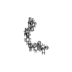 Cn1c(=O)n(C2CCC(=O)NC2=O)c2cccc([C@@H]3CCN(C[C@H]4CC[C@H](n5cc6cc(NC(=O)c7cccc(C(F)(F)F)n7)ncc6n5)CC4)C[C@H]3F)c21